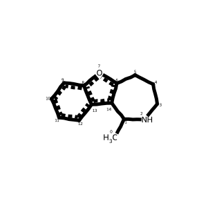 CC1NCCCc2oc3ccccc3c21